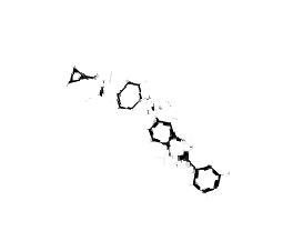 O=C(NC1CC1)[C@H]1CC[C@H](NS(=O)(=O)c2ccc3[nH]c(-c4ccccc4)nc3c2)CC1